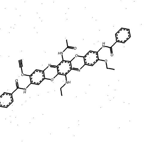 C#COc1cc2c(cc1NC(=O)c1ccccc1)Oc1c(NCC)c3c(c(NC(C)=O)c1=N2)Oc1cc(NC(=O)c2ccccc2)c(OCC)cc1N=3